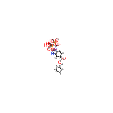 O=C(OCc1ccccc1)c1ccc2c(c1)ncn2CC(O)(P(=O)(O)O)P(=O)(O)O